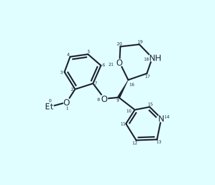 CCOc1ccccc1OC(c1cccnc1)[C@@H]1CNCCO1